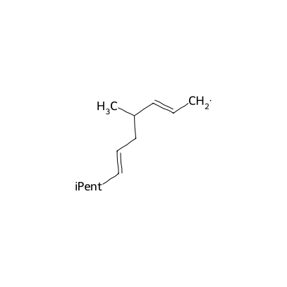 [CH2]/C=C/C(C)C/C=C/C(C)CCC